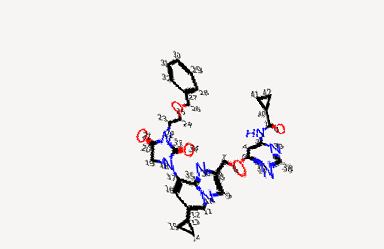 O=C(Nc1cc(OCc2cn3cc(C4CC4)cc(N4CC(=O)N(CCOCc5ccccc5)C4=O)c3n2)ncn1)C1CC1